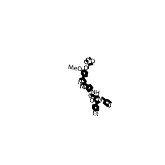 CCc1ccc(-c2cn(CC3CCOCC3)cc(C(=O)Nc3ccc(-c4cc(-c5ccc(OC[C@H]6COCCO6)c(OC)c5)cnc4N)cc3)c2=O)cc1